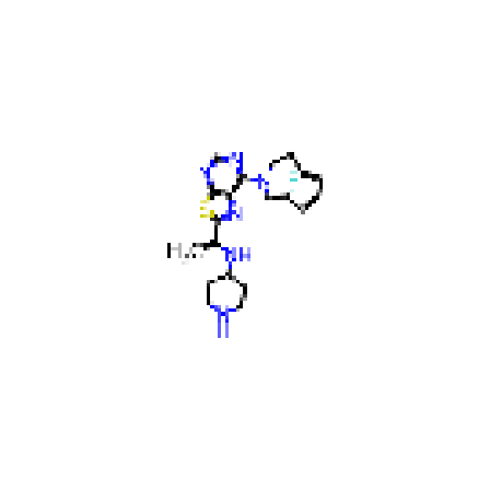 C=C(NC1CCNCC1)c1nc2c(N3/C=C(F)/C=C\C=C\CC3)ncnc2s1